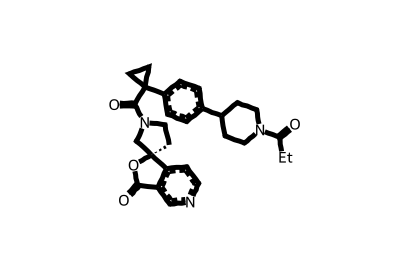 CCC(=O)N1CCC(c2ccc(C3(C(=O)N4CC[C@@]5(C4)OC(=O)c4cnccc45)CC3)cc2)CC1